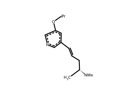 CN[C@H](C)CC=Cc1cncc(OC(C)C)c1